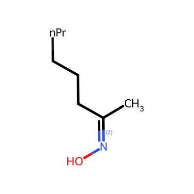 CCCCCC/C(C)=N\O